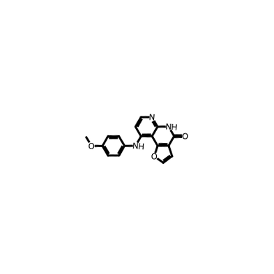 COc1ccc(Nc2ccnc3[nH]c(=O)c4ccoc4c23)cc1